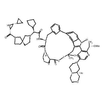 CCn1c(-c2cc(N3CCN4CCOC[C@@H]4C3)cnc2[C@H](C)OC)c2c3cc(ccc31)-c1cccc(c1)C[C@H](NC(=O)[C@H](C1CCCC1)N1CC[C@]3(CCN(C(=O)[C@@H]4N[C@@H]4C4CC4)C3)C1)C(=O)N1CCC[C@H](N1)C(=O)OCC(C)(C)C2